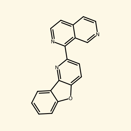 c1ccc2c(c1)oc1ccc(-c3nccc4ccncc34)nc12